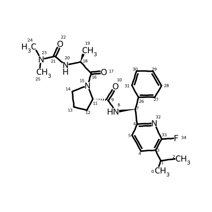 CC(C)c1ccc([C@@H](NC(=O)[C@@H]2CCCN2C(=O)[C@H](C)NC(=O)N(C)C)c2ccccc2)nc1F